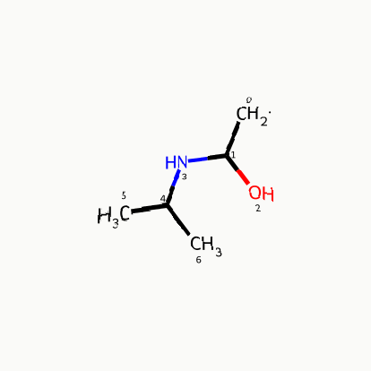 [CH2]C(O)NC(C)C